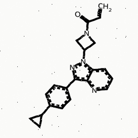 C=CC(=O)N1CC(n2nc(-c3ccc(C4CC4)cc3)c3ncccc32)C1